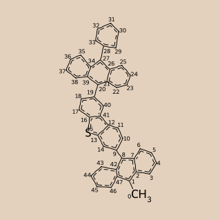 Cc1c2ccccc2c(-c2ccc3c(c2)sc2ccc(-c4c5ccccc5c(-c5ccccc5)c5ccccc45)cc23)c2ccccc12